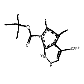 CC(C)(C)OC(=O)n1c(I)c(I)c2c1NNC=C2O